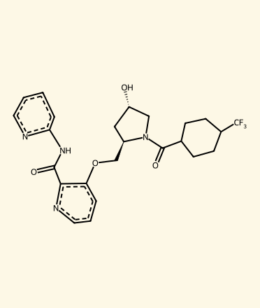 O=C(Nc1ccccn1)c1ncccc1OC[C@H]1C[C@H](O)CN1C(=O)C1CCC(C(F)(F)F)CC1